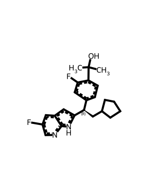 CC(C)(O)c1ccc([C@@H](CC2CCCC2)c2cc3cc(F)cnc3[nH]2)cc1F